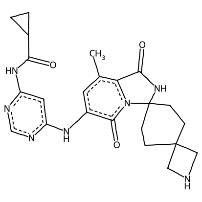 Cc1cc(Nc2cc(NC(=O)C3CC3)ncn2)c(=O)n2c1C(=O)NC21CCC2(CC1)CNC2